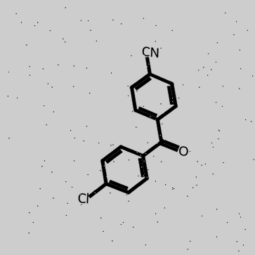 N#Cc1ccc(C(=O)c2ccc(Cl)cc2)cc1